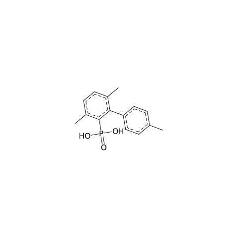 Cc1ccc(-c2c(C)ccc(C)c2P(=O)(O)O)cc1